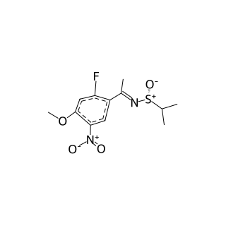 COc1cc(F)c(/C(C)=N/[S@+]([O-])C(C)C)cc1[N+](=O)[O-]